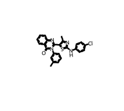 Cc1cccc(-n2c(-c3sc(Nc4ccc(Cl)cc4)nc3C)nc3ccccc3c2=O)c1